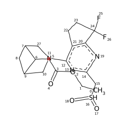 CCOC(=O)CC1C2CC1CN(c1nc(C[SH](=O)=O)nc3c1CCC3(F)F)C2